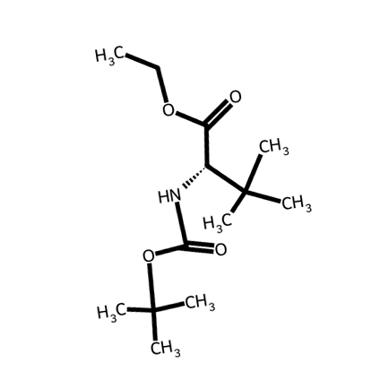 CCOC(=O)[C@@H](NC(=O)OC(C)(C)C)C(C)(C)C